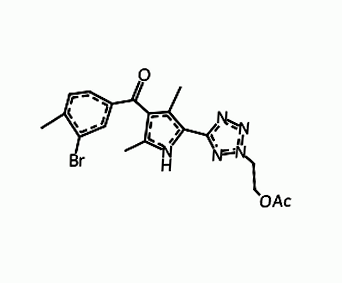 CC(=O)OCCn1nnc(-c2[nH]c(C)c(C(=O)c3ccc(C)c(Br)c3)c2C)n1